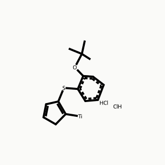 CC(C)(C)Oc1ccccc1SC1=[C]([Ti])CC=C1.Cl.Cl